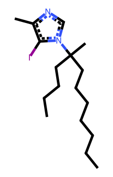 CCCCCCCC(C)(CCCC)n1cnc(C)c1I